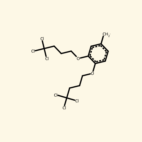 [CH2]c1ccc(OCCCC(Cl)(Cl)Cl)c(OCCCC(Cl)(Cl)Cl)c1